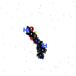 CC(=O)Nc1cc(F)c(S(=O)(=O)N2CCN(CC(C)Nc3ncnc4c(-c5cccnc5)cccc34)CC2)cc1C